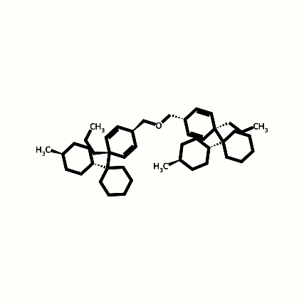 CCC[C@]1(C2([C@H]3CC[C@H](C)CC3)CCCCC2)C=C[C@H](COC[C@H]2C=C[C@](CCC)(C3([C@H]4CC[C@H](C)CC4)CCCCC3)C=C2)C=C1